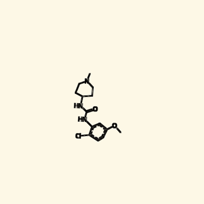 COc1ccc(Cl)c(NC(=O)NC2CCN(C)CC2)c1